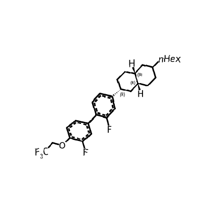 CCCCCCC1CC[C@@H]2C[C@H](c3ccc(-c4ccc(OCC(F)(F)F)c(F)c4)c(F)c3)CC[C@@H]2C1